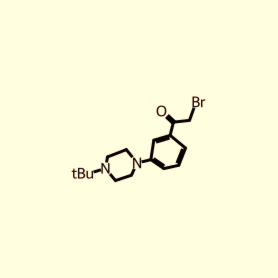 CC(C)(C)N1CCN(c2cccc(C(=O)CBr)c2)CC1